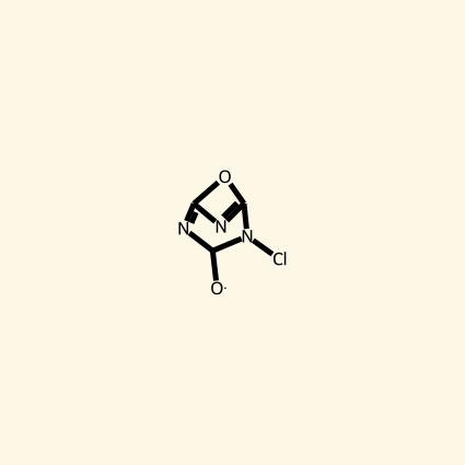 [O]C1N=C2N=C(O2)N1Cl